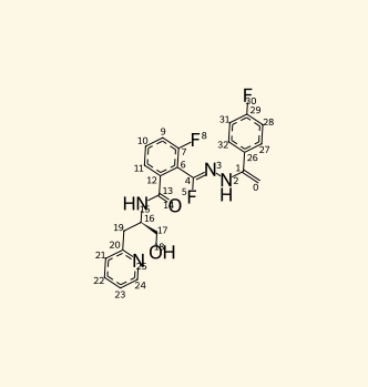 C=C(N/N=C(\F)c1c(F)cccc1C(=O)N[C@@H](CO)Cc1ccccn1)c1ccc(F)cc1